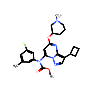 Cc1cc(F)cc(N(C(=O)OC(C)(C)C)c2cc(OC3CCCN(C(=O)O)C3)nc3c(C4CCC4)cnn23)c1